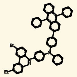 CCc1ccc(C)c(-c2cc(CC)ccc2Nc2ccc(N(c3ccccc3)c3ccc(-c4ccc5c(-c6ccccc6)c6ccccc6c(-c6ccccc6)c5c4)cc3)cc2)c1